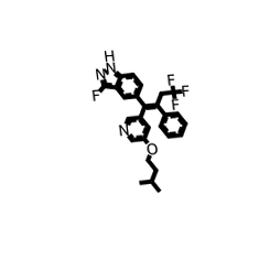 CC(C)CCOc1cncc(/C(=C(/CC(F)(F)F)c2ccccc2)c2ccc3[nH]nc(F)c3c2)c1